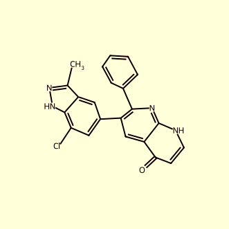 Cc1n[nH]c2c(Cl)cc(-c3cc4c(=O)cc[nH]c4nc3-c3ccccc3)cc12